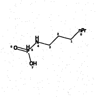 CCCCCCN[PH](=O)O